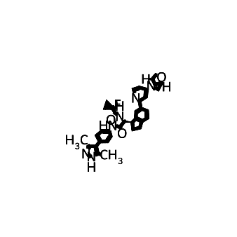 Cc1n[nH]c(C)c1-c1ccc(NC(=O)C(NC(=O)C2(F)CC2)[C@@H]2CCc3ccc(-c4cc(N5C[C@@H]6C[C@H]5CO6)ccn4)cc32)cc1